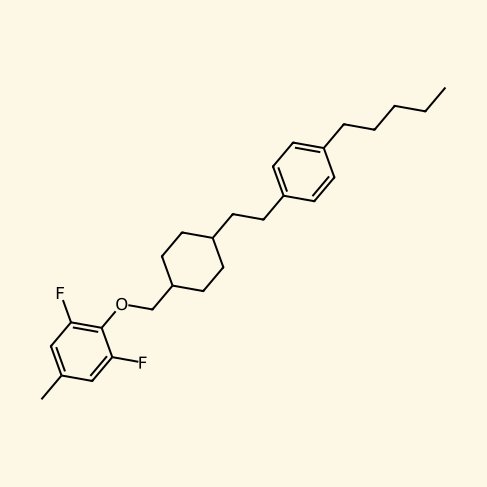 CCCCCc1ccc(CCC2CCC(COc3c(F)cc(C)cc3F)CC2)cc1